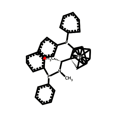 C[C@@H](N(C)P(c1ccccc1)c1ccccc1)[C@@]12[CH]3[CH]4[CH]5[C]1(P(c1ccccc1)c1ccccc1)[Fe]45321678[CH]2[CH]1[CH]6[CH]7[CH]28